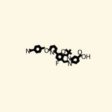 CC1(C)COC[C@H]1n1c(Cc2ccc(-c3cccc(OCc4ccc(C#N)cc4)n3)cc2F)nc2ccc(C(=O)O)cc21